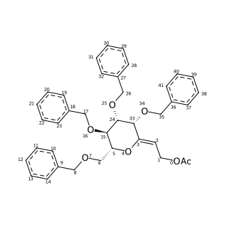 CC(=O)OCC=C1O[C@H](COCc2ccccc2)[C@@H](OCc2ccccc2)[C@H](OCc2ccccc2)[C@@H]1OCc1ccccc1